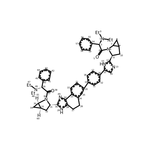 CCN(CC)[C@@H](C(=O)N1C2CC2C[C@H]1c1ncc(-c2ccc(-c3ccc4c(c3)CCc3[nH]c([C@@H]5C[C@H]6C[C@H]6N5C(=O)[C@@H](c5ccccc5)N(CC)CC)nc3-4)cc2)[nH]1)c1ccccc1